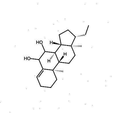 CC[C@H]1CC[C@H]2[C@@H]3C(O)C(O)C4=CCCC[C@]4(C)[C@H]3CC[C@]12C